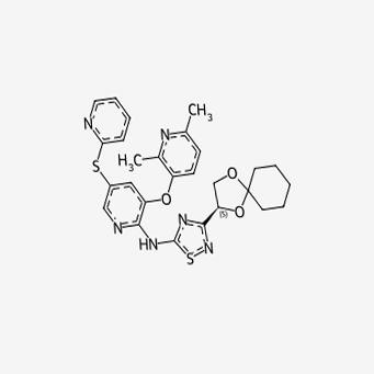 Cc1ccc(Oc2cc(Sc3ccccn3)cnc2Nc2nc([C@H]3COC4(CCCCC4)O3)ns2)c(C)n1